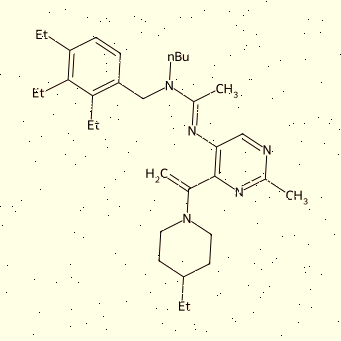 C=C(c1nc(C)ncc1/N=C(\C)N(CCCC)Cc1ccc(CC)c(CC)c1CC)N1CCC(CC)CC1